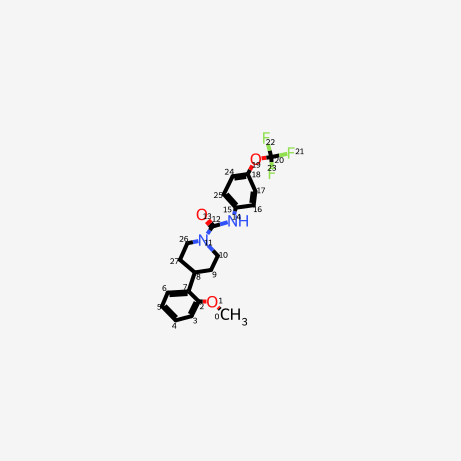 COc1ccccc1C1CCN(C(=O)Nc2ccc(OC(F)(F)F)cc2)CC1